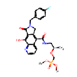 CC(C)OP(=O)(CO[C@H](C)CNC(=O)c1c2c(c(O)c3ncccc13)C(=O)N(Cc1ccc(F)cc1)C2)OC(C)C